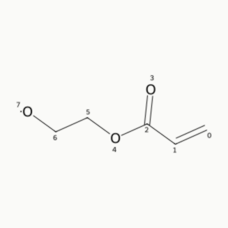 C=CC(=O)OCC[O]